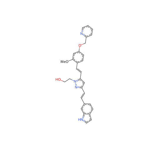 COc1cc(OCc2ccccn2)ccc1/C=C/c1cc(/C=C/c2ccc3cc[nH]c3c2)nn1CCO